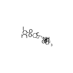 O=C(OC1CC2CC(CCNS(=O)(=O)C(F)(F)F)CC(C2)C1)c1cc(I)cc(I)c1I